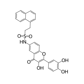 O=c1c(O)c(-c2ccc(O)c(O)c2)oc2ccc(NS(=O)(=O)CCc3cccc4ccccc34)cc12